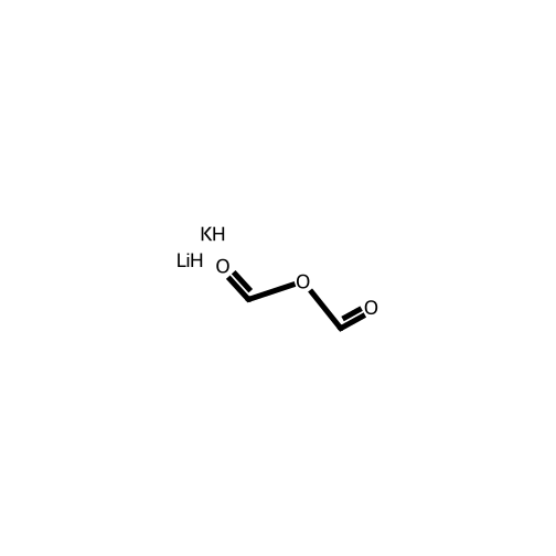 O=COC=O.[KH].[LiH]